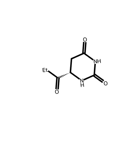 CCC(=O)[C@@H]1CC(=O)NC(=O)N1